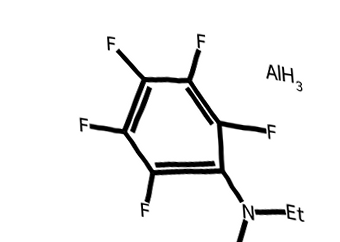 CCN(CC)c1c(F)c(F)c(F)c(F)c1F.[AlH3]